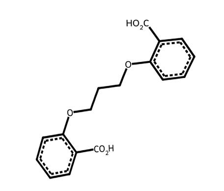 O=C(O)c1ccccc1OCCCOc1ccccc1C(=O)O